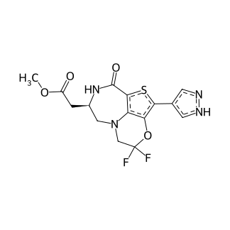 COC(=O)C[C@@H]1CN2CC(F)(F)Oc3c(-c4cn[nH]c4)sc(c32)C(=O)N1